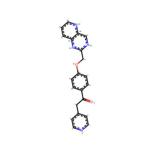 O=C(Cc1ccncc1)c1ccc(OCc2ncc3ncccc3n2)cc1